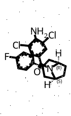 Nc1c(Cl)cc(C(=O)N2[C@@H]3CC[C@H]2C[C@@H](c2ccc(F)cc2)C3)cc1Cl